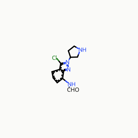 O=CNc1cccc2c(Cl)n(C3CCNC3)nc12